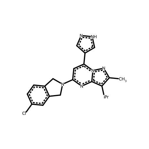 Cc1nn2c(-c3cn[nH]c3)cc(N3Cc4ccc(Cl)cc4C3)nc2c1C(C)C